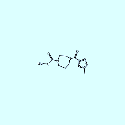 Cc1cnn(C(=O)N2CCCN(C(=O)OC(C)(C)C)CC2)c1